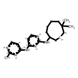 CC1(C)CCCCC(Nc2nccc(Nc3ccnc(Cl)n3)n2)CCC1